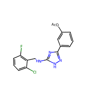 CC(=O)Oc1cccc(-c2n[nH]c(NCc3c(F)cccc3Cl)n2)c1